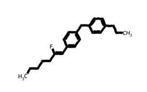 CCCCCC(F)=Cc1ccc(Cc2ccc(CCC)cc2)cc1